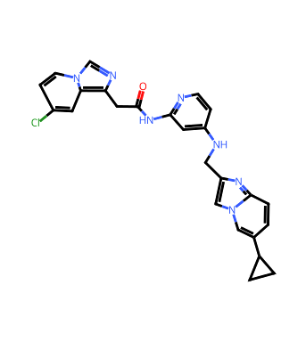 O=C(Cc1ncn2ccc(Cl)cc12)Nc1cc(NCc2cn3cc(C4CC4)ccc3n2)ccn1